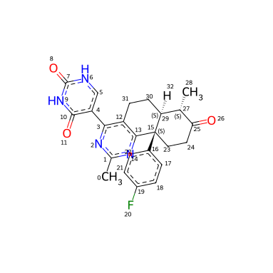 Cc1nc(-c2c[nH]c(=O)[nH]c2=O)c2c(n1)[C@@]1(c3ccc(F)cc3)CCC(=O)[C@@H](C)[C@@H]1CC2